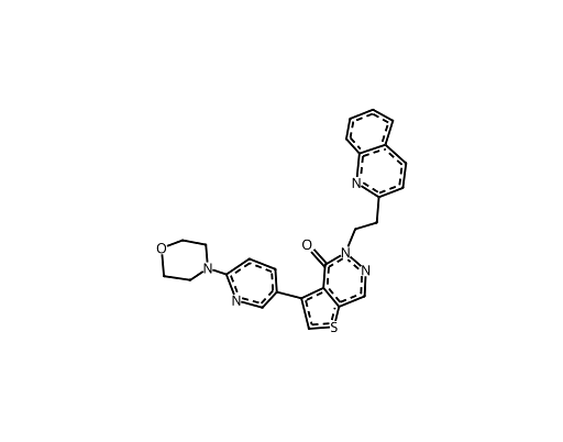 O=c1c2c(-c3ccc(N4CCOCC4)nc3)csc2cnn1CCc1ccc2ccccc2n1